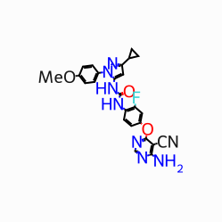 COc1ccc(-n2nc(C3CC3)cc2NC(=O)Nc2ccc(Oc3ncnc(N)c3C#N)cc2F)cc1